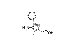 Cc1c(CCO)nn(-c2ccccc2)c1N